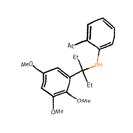 CCC(CC)(Pc1ccccc1C(C)=O)c1cc(OC)cc(OC)c1OC